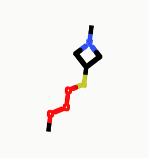 COOOSC1CN(C)C1